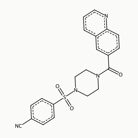 N#Cc1ccc(S(=O)(=O)N2CCN(C(=O)c3ccc4ncccc4c3)CC2)cc1